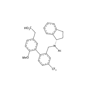 COc1ccc(CC(=O)O)cc1-c1ccc(C(F)(F)F)cc1CN(C(C)=O)[C@H]1CCc2ccccc21